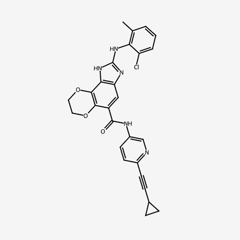 Cc1cccc(Cl)c1Nc1nc2cc(C(=O)Nc3ccc(C#CC4CC4)nc3)c3c(c2[nH]1)OCCO3